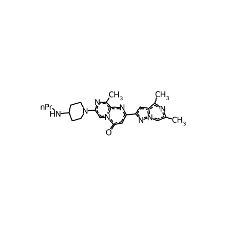 CCCNC1CCN(c2cn3c(=O)cc(-c4cc5c(C)nc(C)cn5n4)nc3c(C)n2)CC1